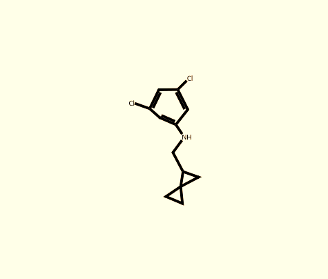 Clc1cc(Cl)cc(NCC2CC23CC3)c1